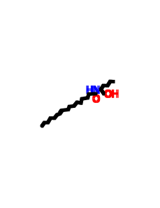 CCCCCCC=CCCCCCCCCC(=O)NC(CO)CCCC